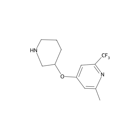 Cc1cc(OC2CCCNC2)cc(C(F)(F)F)n1